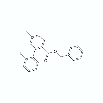 Cc1ccc(C(=O)OCc2ccccc2)c(-c2ccccc2I)c1